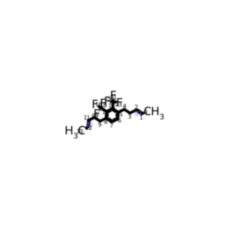 C/C=C/CCc1ccc(CC/C=C/C)c(C(F)(F)F)c1C(F)(F)F